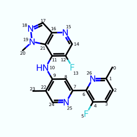 Cc1ccc(F)c(-c2cc(Nc3c(F)cnc4cnn(C)c34)c(C)cn2)n1